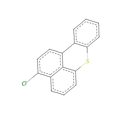 Clc1ccc2c3c(cccc13)Sc1ccccc1-2